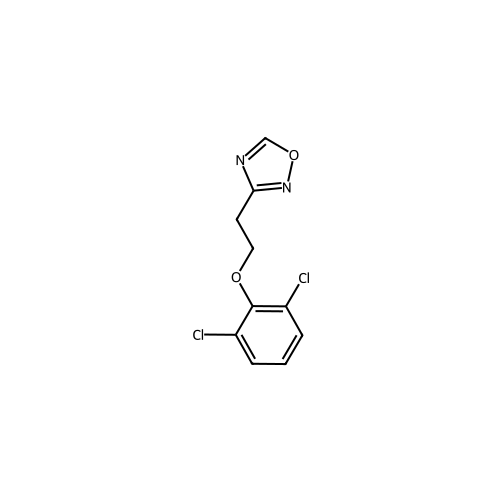 Clc1cccc(Cl)c1OCCc1ncon1